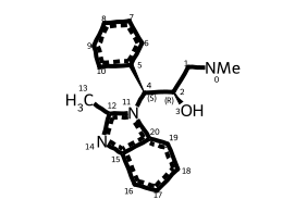 CNC[C@@H](O)[C@H](c1ccccc1)n1c(C)nc2ccccc21